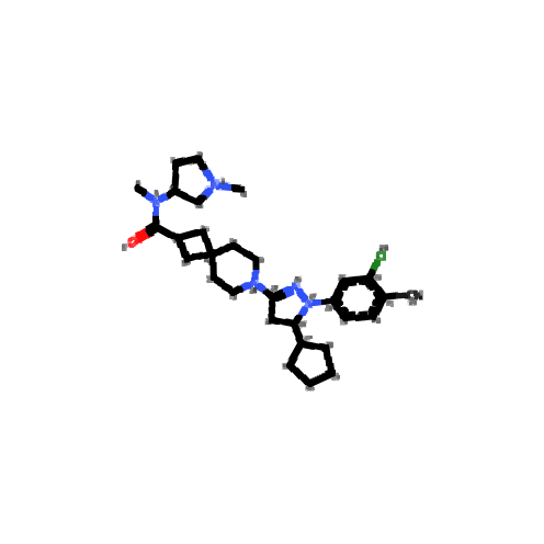 CN1CCC(N(C)C(=O)C2CC3(CCN(C4=NN(c5ccc(C#N)c(Cl)c5)C(C5CCCC5)C4)CC3)C2)C1